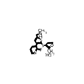 CNCc1cc(-c2cccnc2F)c(Sc2ccoc2C)s1.Cl